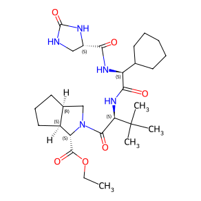 CCOC(=O)[C@@H]1[C@H]2CCC[C@H]2CN1C(=O)[C@@H](NC(=O)[C@@H](NC(=O)[C@@H]1CNC(=O)N1)C1CCCCC1)C(C)(C)C